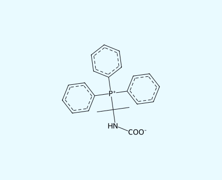 CC(C)(NC(=O)[O-])[P+](c1ccccc1)(c1ccccc1)c1ccccc1